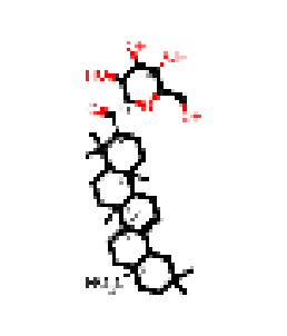 CC1(C)CC[C@]2(C(=O)O)CC[C@]3(C)C(=CCC4[C@@]5(C)CC[C@H](C(=O)[C@H]6OC(CO)[C@@H](O)C(O)C6O)C(C)(C)C5CC[C@]43C)C2C1